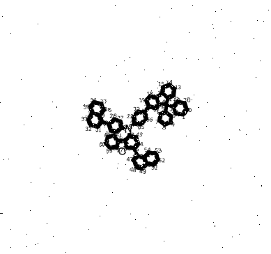 c1ccc(C2(c3ccccc3)c3ccccc3-c3ccc(-c4ccc(N(c5ccc(-c6cccc7ccccc67)cc5)c5ccc(-c6cccc7ccccc67)c6oc7ccccc7c56)cc4)cc32)cc1